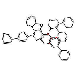 c1ccc(-c2ccc(-c3ccc(N(c4ccc(-c5ccccc5)cc4)c4cccc(-c5ccccc5)c4-c4ccccc4-c4ccccc4)c4oc5ccccc5c34)cc2)cc1